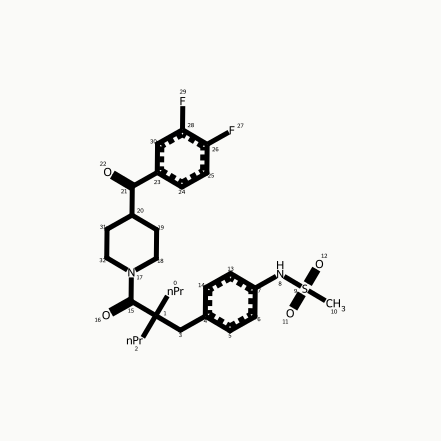 CCCC(CCC)(Cc1ccc(NS(C)(=O)=O)cc1)C(=O)N1CCC(C(=O)c2ccc(F)c(F)c2)CC1